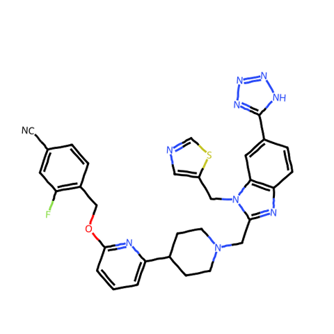 N#Cc1ccc(COc2cccc(C3CCN(Cc4nc5ccc(-c6nnn[nH]6)cc5n4Cc4cncs4)CC3)n2)c(F)c1